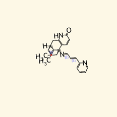 C/C=C1\[C@H]2C=C(C)C[C@]1(/N=C/C=C/c1ccccn1)c1ccc(=O)[nH]c1C2